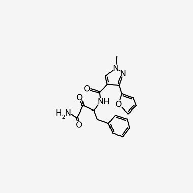 Cn1cc(C(=O)NC(Cc2ccccc2)C(=O)C(N)=O)c(-c2ccco2)n1